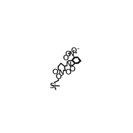 C[Si](C)(C)CCOCN1C(=O)CCC(N2C(=O)c3cccc([N+](=O)[O-])c3C2=O)C1=O